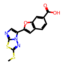 CSc1nn2c(-c3cc4ccc(C(=O)O)cc4o3)cnc2s1